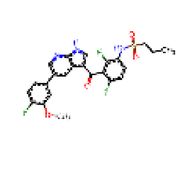 CCCS(=O)(=O)Nc1ccc(F)c(C(=O)c2c[nH]c3ncc(-c4ccc(F)c(OC)c4)cc23)c1F